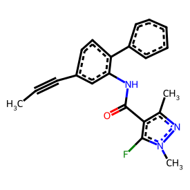 CC#Cc1ccc(-c2ccccc2)c(NC(=O)c2c(C)nn(C)c2F)c1